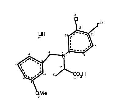 COc1cccc(CN(c2ccc(F)c(Cl)c2)C(C)C(=O)O)c1.[LiH]